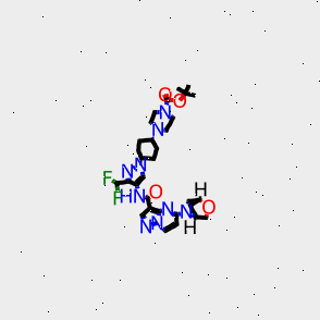 CC(C)(C)OC(=O)N1CCN([C@H]2CC[C@H](n3cc(NC(=O)c4cnn5ccc(N6C[C@H]7C[C@@H]6CO7)nc45)c(C(F)F)n3)CC2)CC1